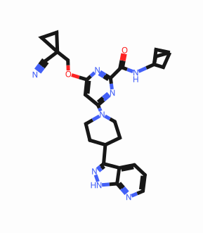 N#CC1(COc2cc(N3CCC(c4n[nH]c5ncccc45)CC3)nc(C(=O)NC34CC(C3)C4)n2)CC1